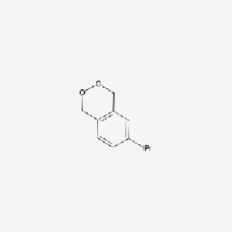 CC(C)c1ccc2c(c1)COOC2